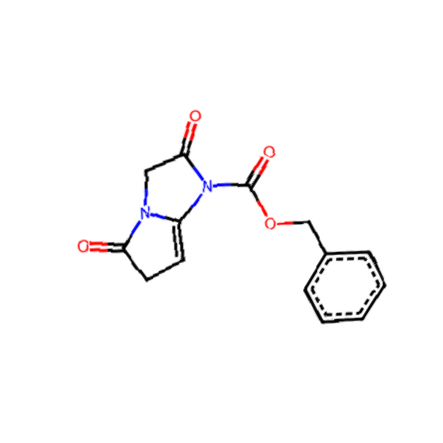 O=C1CC=C2N1CC(=O)N2C(=O)OCc1ccccc1